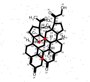 CC(=O)[C@@]1(O)CC[C@H]2[C@@H]3CCC4=CC(=O)CC[C@]4(C)[C@@]3(C3CC(=O)C=C4CC[C@@H]5[C@H]([C@@H](O)C[C@@]6(C)[C@H]5CC[C@]6(O)C(=O)CO)[C@]43C)[C@@H](O)C[C@@]21C